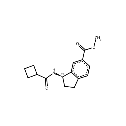 COC(=O)c1ccc2c(c1)[C@H](NC(=O)C1CCC1)CC2